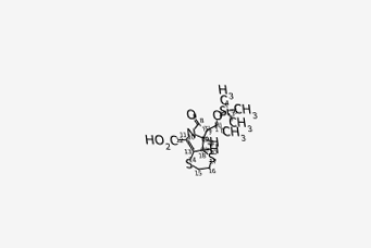 C[C@@H](O[Si](C)(C)C)[C@H]1C(=O)N2C(C(=O)O)=C3SCCS[C@H]3[C@H]12